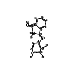 Cc1ccc(/N=C2/c3ccccc3C(=O)N2C)c(C)c1C